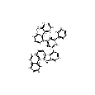 c1ccc(-c2nc(-c3cccc4oc5ccccc5c34)nc(-c3cccc4oc5c(ccc6ccc7ccccc7c65)c34)n2)cc1